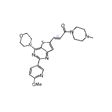 COc1ccc(-c2nc(N3CCOCC3)c3sc(/C=C/C(=O)N4CCN(C)CC4)cc3n2)cn1